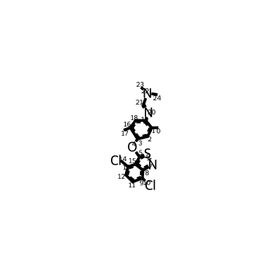 Cc1cc(Oc2snc3c(Cl)ccc(Cl)c23)c(C)cc1N=CN(C)C